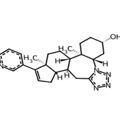 C[C@]12CC[C@H](O)C[C@@H]1n1nnnc1C[C@@H]1[C@@H]2CC[C@]2(C)C(c3cccnc3)=CC[C@@H]12